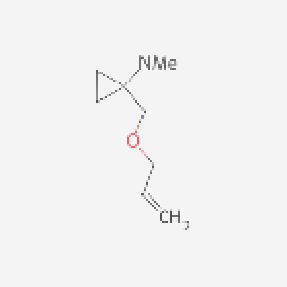 C=CCOCC1(NC)CC1